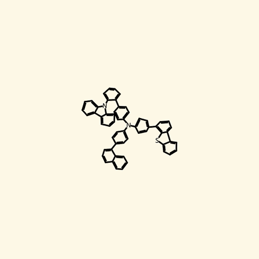 c1ccc(-n2c3ccccc3c3ccccc32)c(-c2ccc(N(c3ccc(-c4cccc5ccccc45)cc3)c3ccc(-c4cccc5c4sc4ccccc45)cc3)cc2)c1